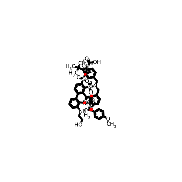 COc1ccc(CN(Cc2ccc(OC)cc2)S(=O)(=O)c2c(S(=O)(=O)C3CN(C(=O)O)C3C(C)(C)C)ccc(-c3cccc(NCCO)c3N)c2-c2nnn(Cc3ccc(OC)cc3)n2)cc1